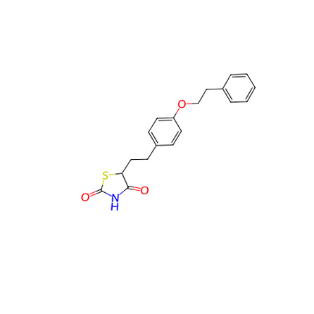 O=C1NC(=O)C(CCc2ccc(OCCc3ccccc3)cc2)S1